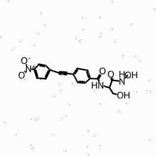 O=C(NC(CO)C(=O)NO)c1ccc(C#Cc2ccc([N+](=O)[O-])cc2)cc1